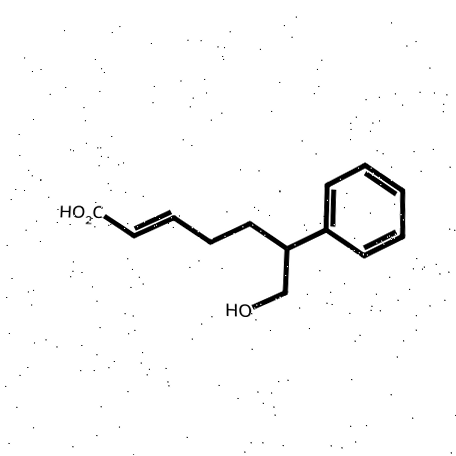 O=C(O)C=CCCC(CO)c1ccccc1